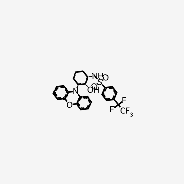 O=S(=O)(N[C@@H]1CCC[C@H](N2c3ccccc3Oc3ccccc32)[C@H]1O)c1ccc(C(F)(F)C(F)(F)F)cc1